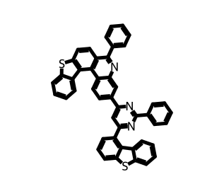 c1ccc(-c2nc(-c3ccc4c(c3)nc(-c3ccccc3)c3ccc5sc6ccccc6c5c34)cc(-c3cccc4sc5ccccc5c34)n2)cc1